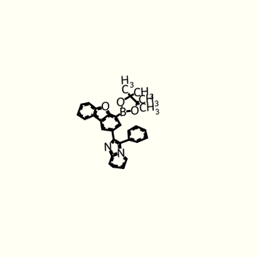 CC1(C)OB(c2cc(-c3nc4ccccn4c3-c3ccccc3)cc3c2oc2ccccc23)OC1(C)C